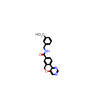 O=C(O)c1cccc(CNC(=O)c2ccc3c(c2)COc2cncnc2-3)c1